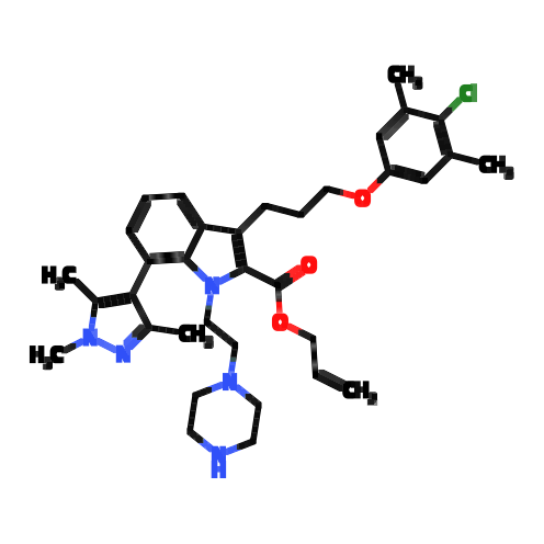 C=CCOC(=O)c1c(CCCOc2cc(C)c(Cl)c(C)c2)c2cccc(-c3c(C)nn(C)c3C)c2n1CCN1CCNCC1